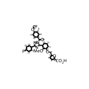 COc1c(OCc2ccc(C(=O)O)o2)cccc1C1SC(c2ccc(F)cc2)=NN1C(=O)c1ccc(OC(F)(F)F)cc1